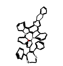 c1ccc(-c2ncnc(-c3ccccc3)c2-c2cccc(-n3c4ccccc4c4c5cc6c(cc5c5c7ccccc7n(-c7ccccc7)c5c43)Cc3ccccc3C6)c2)cc1